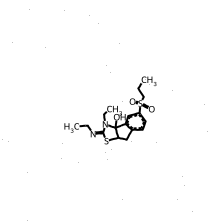 CCCS(=O)(=O)c1ccc2c(c1)C1(O)C(C2)SC(=NCC)N1CC